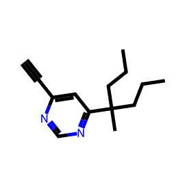 C#Cc1cc(C(C)(CCC)CCC)ncn1